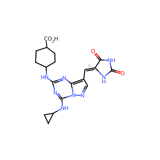 O=C1NC(=O)/C(=C/c2cnn3c(NC4CC4)nc(NC4CCC(C(=O)O)CC4)nc23)N1